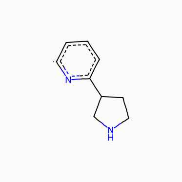 [c]1cccc(C2CCNC2)n1